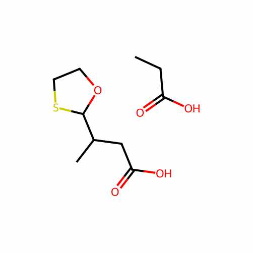 CC(CC(=O)O)C1OCCS1.CCC(=O)O